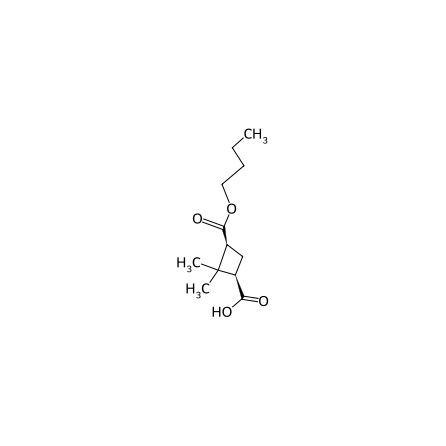 CCCCOC(=O)[C@H]1C[C@@H](C(=O)O)C1(C)C